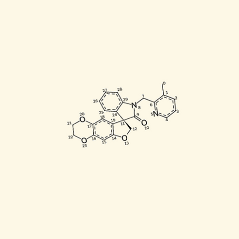 Cc1cccnc1CN1C(=O)[C@@]2(COc3cc4c(cc32)OCCO4)c2ccccc21